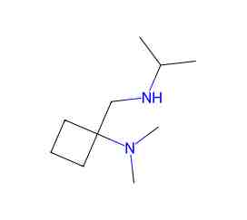 CC(C)NCC1(N(C)C)CCC1